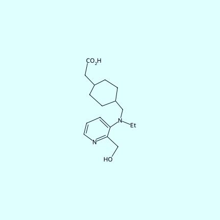 CCN(CC1CCC(CC(=O)O)CC1)c1cccnc1CO